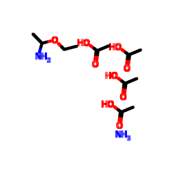 CC(=O)O.CC(=O)O.CC(=O)O.CC(=O)O.CCOC(C)N.N